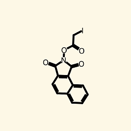 O=C(CI)ON1C(=O)c2ccc3ccccc3c2C1=O